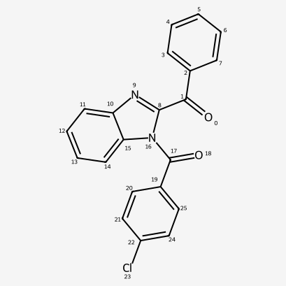 O=C(c1ccccc1)c1nc2ccccc2n1C(=O)c1ccc(Cl)cc1